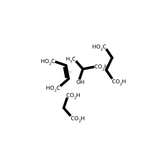 CC(O)C(=O)O.O=C(O)/C=C\C(=O)O.O=C(O)CC(=O)O.O=C(O)CCC(=O)O